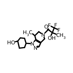 CC1CN(C(=O)C(C)(O)C(F)(F)F)Cc2cnn(C3CCC(O)CC3)c21